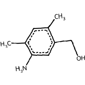 Cc1cc(C)c(CO)cc1N